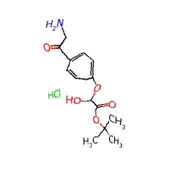 CC(C)(C)OC(=O)C(O)Oc1ccc(C(=O)CN)cc1.Cl